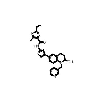 CCc1nc(C)c(C(=O)Nc2nc(-c3ccc4c(c3)CCC(O)N4Cc3cccnc3)cs2)s1